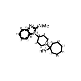 CCCC1(N2CCC(n3c(NC)nc4ccccc43)CC2)CCCCCC1